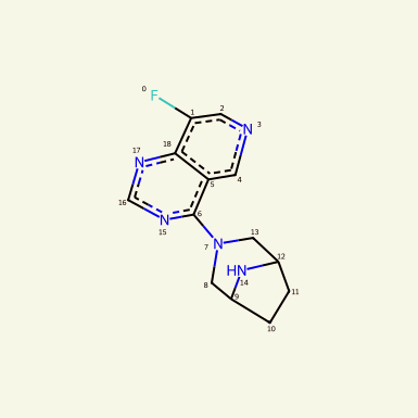 Fc1cncc2c(N3CC4CCC(C3)N4)ncnc12